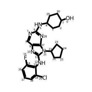 OC1CCC(Nc2ncc3nc(Nc4c(F)cccc4Cl)n(C4CCCC4)c3n2)CC1